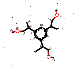 COCC(C)c1cc(C(C)COC)cc(C(C)COC)c1